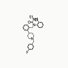 CCNC(=O)N(Cc1ccccc1C1CCN(Cc2ccc(F)cc2)CC1)c1ccccc1Cl